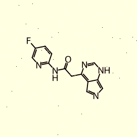 O=C(Cc1nc[nH]c2cncc1-2)Nc1ccc(F)cn1